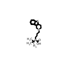 CC(C)(C)N(CCCCN1CCc2sc3ccccc3c2C1)C(=O)O